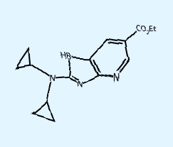 CCOC(=O)c1cnc2c(c1)BC(N(C1CC1)C1CC1)=N2